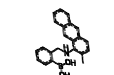 Cc1ccc2cc3ccccc3cc2c1NCc1ccccc1B(O)O